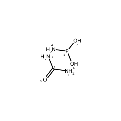 NC(N)=O.NP(O)O